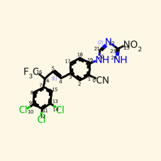 N#Cc1cc(/C=C/C(c2cc(Cl)c(Cl)c(Cl)c2)C(F)(F)F)ccc1N/C=N\C(=N)[N+](=O)[O-]